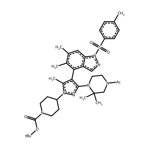 CC(=O)N1CCN(c2nn(C3CCN(C(=O)OC(C)(C)C)CC3)c(C)c2-c2c(C)c(C)cc3c2cnn3S(=O)(=O)c2ccc(C)cc2)C(C)(C)C1